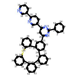 c1ccc(-c2nc(-c3ccc(-c4cccnc4)nc3)cc(-c3ccc4c(c3)-c3ccccc3Sc3ccccc3-c3ccccc3-c3ccccc3-4)n2)cc1